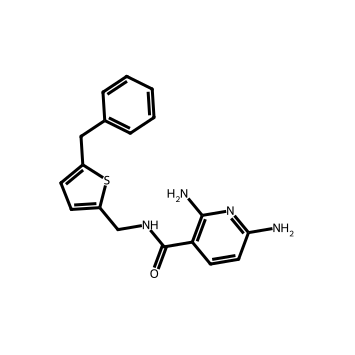 Nc1ccc(C(=O)NCc2ccc(Cc3ccccc3)s2)c(N)n1